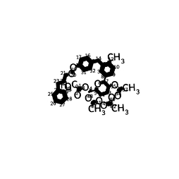 CC(=O)OC[C@H]1O[C@@H](c2ccc(C)c(Cc3ccc(OOCC4Cc5ccccc5O4)cc3)c2)[C@H](OC(C)=O)[C@@H](OC(C)=O)[C@@H]1OC(C)=O